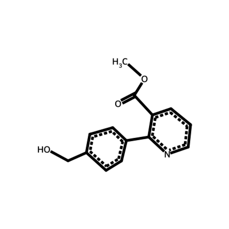 COC(=O)c1cccnc1-c1ccc(CO)cc1